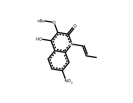 CC=Cn1c(=O)c(OCCCC)c(O)c2ccc([N+](=O)[O-])cc21